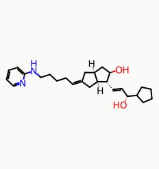 O[C@H](/C=C/[C@@H]1[C@H]2C/C(=C/CCCCNc3ccccn3)C[C@H]2C[C@H]1O)C1CCCC1